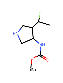 CC(F)C1CNCC1NC(=O)OC(C)(C)C